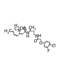 C=C/C=C\C(=C\C(=O)NC(=C)CCNC(=O)COc1ccc(Cl)c(F)c1)N(C)C